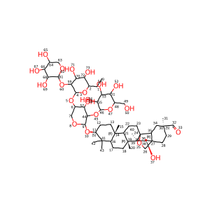 CCC1OC(OC2COC(O[C@H]3CC[C@@]4(C)C(CC[C@]5(C)C4CCC46OCC7(CC[C@](C)(C=O)CC74)[C@H](O)C[C@]65C)C3(C)C)C(OC3OC(CO)C(O)C(O)C3O)C2O)C(OC2OCC(O)C(O)C2O)C(O)C1O